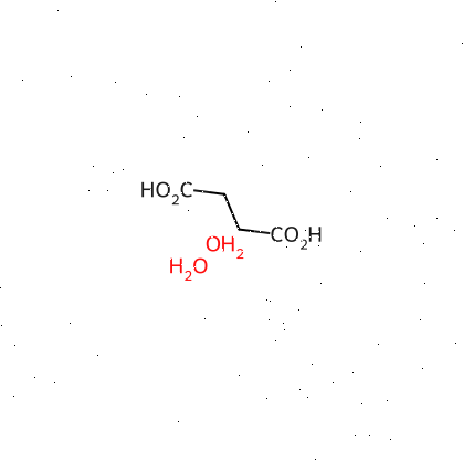 O.O.O=C(O)CCC(=O)O